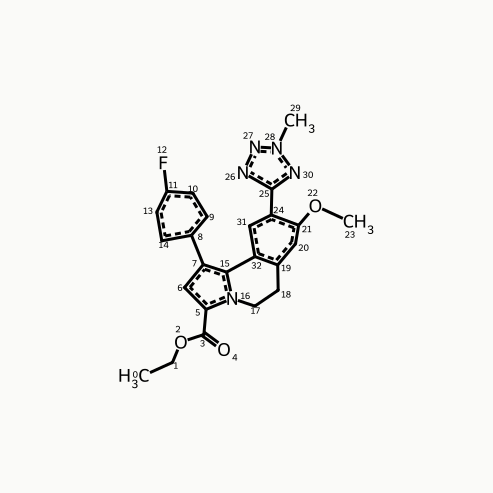 CCOC(=O)c1cc(-c2ccc(F)cc2)c2n1CCc1cc(OC)c(-c3nnn(C)n3)cc1-2